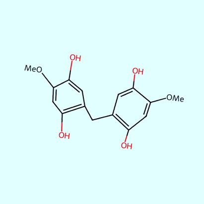 COc1cc(O)c(Cc2cc(O)c(OC)cc2O)cc1O